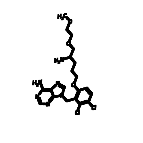 COCCOCC(N)CCCOc1ccc(Cl)c(Cl)c1Cn1cnc2c(N)ncnc21